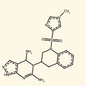 Cn1cnc(S(=O)(=O)N2CC(N3C(N)=Nc4[nH]ncc4C3N)Cc3ccccc32)c1